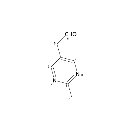 Cc1ncc(CC=O)cn1